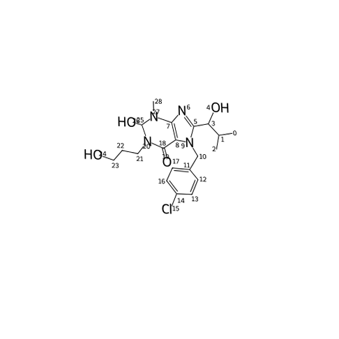 CC(C)C(O)c1nc2c(n1Cc1ccc(Cl)cc1)C(=O)N(CCCO)C(O)N2C